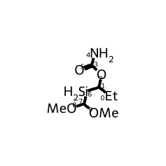 CCC(OC(N)=O)[SiH2]C(OC)OC